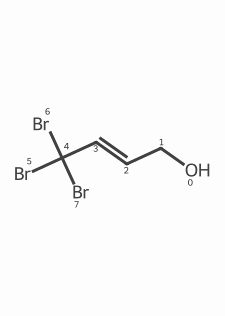 OCC=CC(Br)(Br)Br